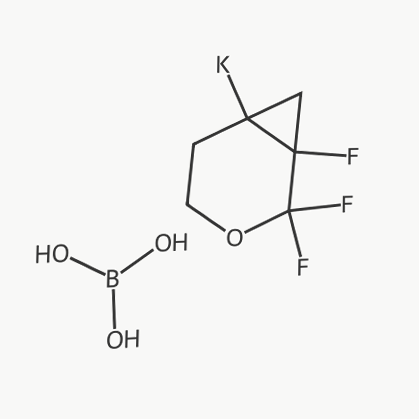 FC1(F)OCC[C]2([K])CC21F.OB(O)O